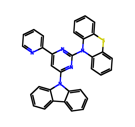 c1ccc(-c2cc(-n3c4ccccc4c4ccccc43)nc(N3c4ccccc4Sc4ccccc43)n2)nc1